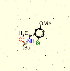 COc1ccc(Br)c([C@@H](C)N[S@+]([O-])C(C)(C)C)c1